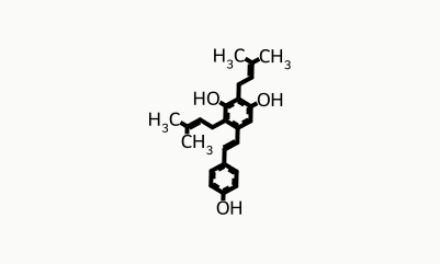 CC(C)=CCc1c(O)cc(C=Cc2ccc(O)cc2)c(CC=C(C)C)c1O